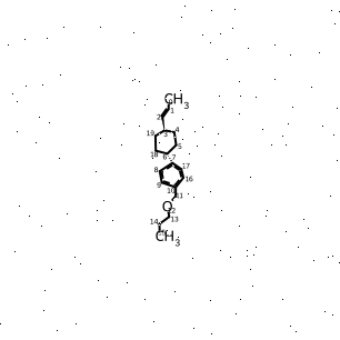 CC=C[C@H]1CC[C@H](c2ccc(COCCC)cc2)CC1